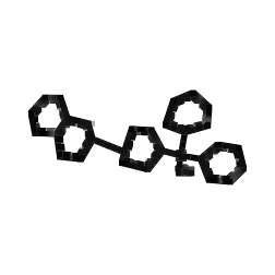 CC(C)(C)[Si](c1ccccc1)(c1ccccc1)c1ccc(-c2[c]c3ccccc3cc2)cc1